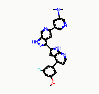 COc1cc(F)cc(-c2ccnc3[nH]c(-c4n[nH]c5cnc(-c6cncc(N(C)C)c6)cc45)cc23)c1